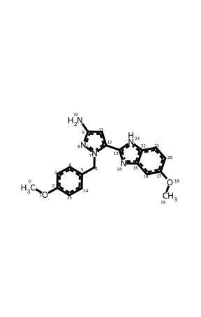 COc1ccc(Cn2nc(N)cc2-c2nc3cc(OC)ccc3[nH]2)cc1